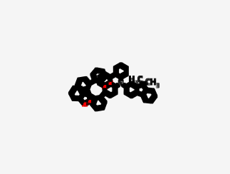 CC1(C)c2ccccc2-c2ccc(N(c3ccc4c(c3)-c3ccccc3-c3ccccc3C3(c5ccccc5-4)c4ccccc4-c4ccccc43)c3ccccc3-c3ccccc3)cc21